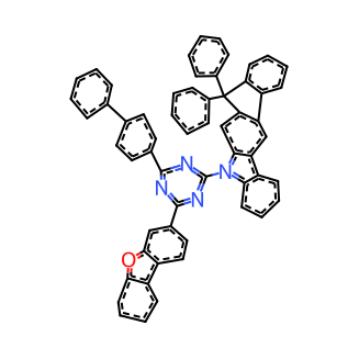 c1ccc(-c2ccc(-c3nc(-c4ccc5c(c4)oc4ccccc45)nc(-n4c5ccccc5c5cc6c(cc54)C(c4ccccc4)(c4ccccc4)c4ccccc4-6)n3)cc2)cc1